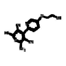 N#Cc1c(N)nc(S)c(C#N)c1-c1ccc(OCCO)cn1